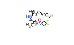 Cc1sc(C(=O)NC2CCC(F)(F)CC2)cc1C1CC1NCC1CC1.O=C(O)C=CC(=O)O